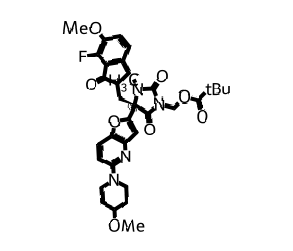 COc1ccc2c(c1F)C(=O)C(C[C@]1(c3cc4nc(N5CCC(OC)CC5)ccc4o3)C(=O)N(COC(=O)C(C)(C)C)C(=O)N1C)C2